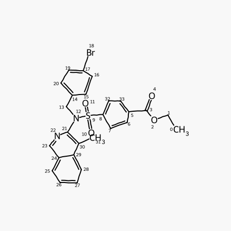 CCOC(=O)c1ccc(S(=O)(=O)N(Cc2ccc(Br)cc2)c2ncc3ccccc3c2C)cc1